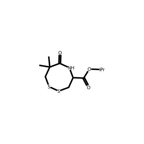 CC(C)OC(=O)C1CSSCC(C)(C)C(=O)N1